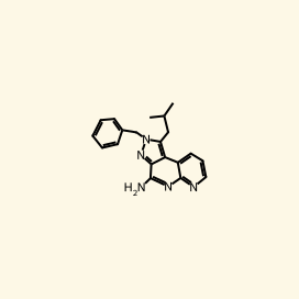 CC(C)Cc1c2c(nn1Cc1ccccc1)c(N)nc1ncccc12